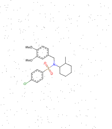 COc1ccc(CN(C2CCCCC2C)S(=O)(=O)c2ccc(Cl)cc2)cc1OC